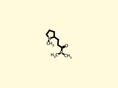 CN(C)C(=O)CCC1C[CH]CN1C